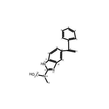 C=C(c1ccccc1)c1ccc2[nH]c(N(C)C(=O)O)nc2c1